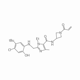 C=CC(=O)N1CC(NC(=O)c2c(C)nc(CNc3cc(C(C)(C)C)c(Cl)cc3O)n2CC)C1